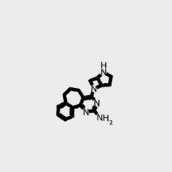 Nc1nc2c(c(N3CC4NCCC43)n1)CCCc1ccccc1-2